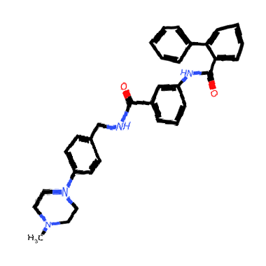 CN1CCN(c2ccc(CNC(=O)c3cccc(NC(=O)c4ccccc4-c4ccccc4)c3)cc2)CC1